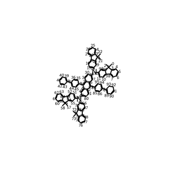 CC1(C)c2ccccc2-c2ccc(N(c3ccc4c(c3)C(C)(C)c3ccccc3-4)c3ccc4c(-c5ccc(-c6ccccc6)cc5)c5cc(N(c6ccc7c(c6)C(C)(C)c6ccccc6-7)c6ccc7c(c6)C(C)(C)c6ccccc6-7)ccc5c(-c5ccc(C6=CC=CCC6)cc5)c4c3)cc21